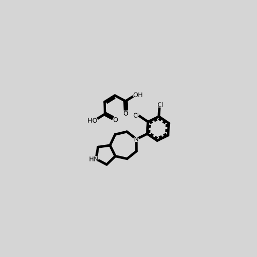 Clc1cccc(N2CCC3CNCC3CC2)c1Cl.O=C(O)/C=C\C(=O)O